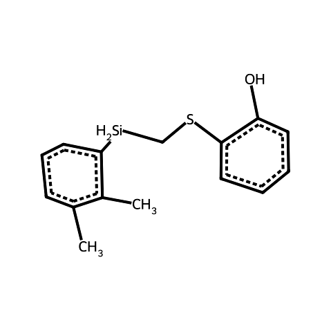 Cc1cccc([SiH2]CSc2ccccc2O)c1C